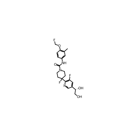 Cc1cc(NC(=O)N2CCC(F)(c3ncc([C@H](O)CO)cc3F)CC2)ccc1OCF